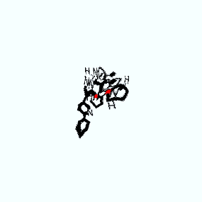 CS(=O)(=O)c1c([C@H]2C[C@H]3CC[C@@H](C2)N3C(=O)[C@H]2CCCN2)nc2c(-c3ccc(-c4ccccc4)nc3)cnn2c1N